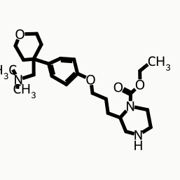 CCOC(=O)N1CCNCC1CCCOc1ccc(C2(CN(C)C)CCOCC2)cc1